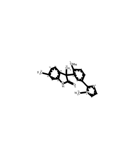 COc1ccc(-c2nccn2C)cc1C1(C)C(=O)Nc2cc(C(F)(F)F)ccc21